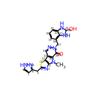 Cn1c2nc(Cc3cc[nH]n3)sc2c2cnn(Cc3cccc4c3NC(O)N4)c(=O)c21